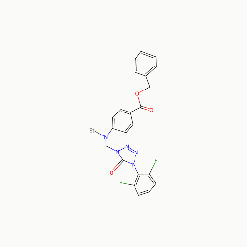 CCN(Cn1nnn(-c2c(F)cccc2F)c1=O)c1ccc(C(=O)OCc2ccccc2)cc1